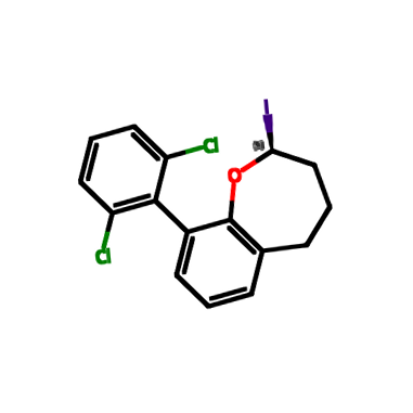 Clc1cccc(Cl)c1-c1cccc2c1O[C@@H](I)CCC2